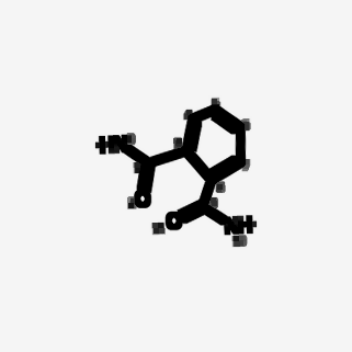 [NH]C(=O)c1ccccc1C([NH])=O